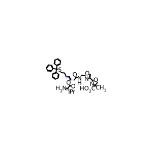 CC(C)[C@H](N)C(=O)O[C@H](/C=C/CCSC(c1ccccc1)(c1ccccc1)c1ccccc1)CC(=O)NCc1nc(C2=N[C@](C)(C(=O)O)CO2)co1